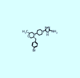 C[C@H]1CN(C2CCN(c3nnc(N)[nH]3)CC2)[C@@H](Cc2ccc(Br)cc2)CO1